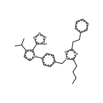 CCCCc1nc(CCc2ccccc2)nn1Cc1ccc(-n2ccc(C(C)C)c2-c2nnn[nH]2)cc1